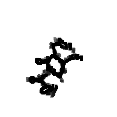 CCc1c(O)ccn(C(=O)O)c1=O